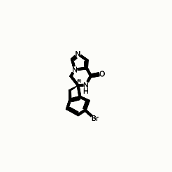 O=C1N[C@@]2(Cc3ccc(Br)cc32)Cn2cncc21